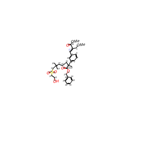 COC/C(=C\c1cccc([C@@](C)(CCCC(C)(C)CS(=O)(=O)CCO)C(=O)OCc2ccccc2)c1)C(=O)OC